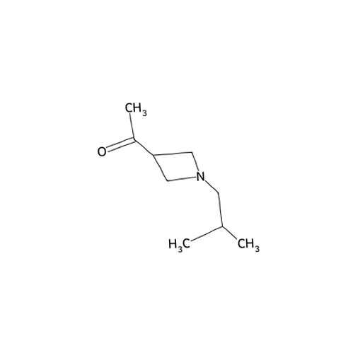 CC(=O)C1CN(CC(C)C)C1